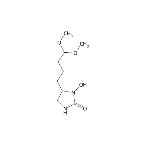 COC(CCCC1CNC(=O)N1O)OC